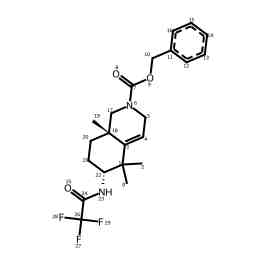 CC1(C)C2=CCN(C(=O)OCc3ccccc3)C[C@@]2(C)CC[C@H]1NC(=O)C(F)(F)F